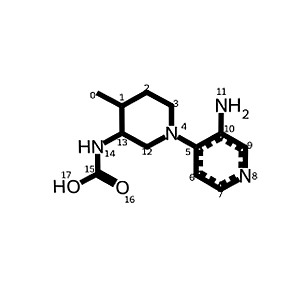 CC1CCN(c2ccncc2N)CC1NC(=O)O